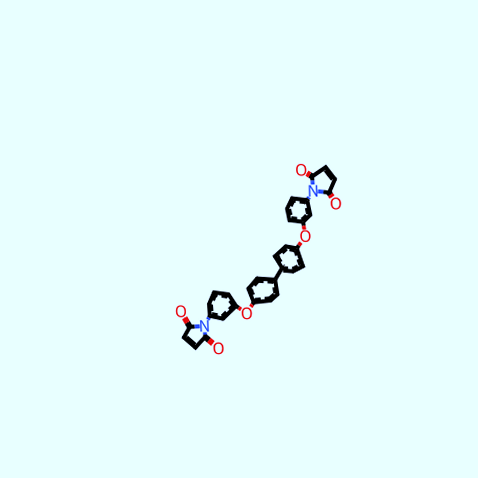 O=C1C=CC(=O)N1c1cccc(Oc2ccc(-c3ccc(Oc4cccc(N5C(=O)C=CC5=O)c4)cc3)cc2)c1